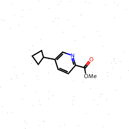 COC(=O)c1ccc(C2CCC2)cn1